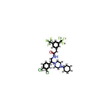 O=C(Cc1cc(C(F)(F)F)cc(C(F)(F)F)c1)NCC(c1ccc(Cl)c(Cl)c1)N1CCN(C2CCCCC2)CC1